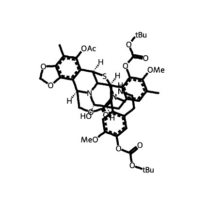 COc1cc2c(cc1OC(=O)OC(C)(C)C)CCN[C@]21CS[C@@H]2c3c(OC(C)=O)c(C)c4c(c3[C@H](COC1=O)N1C2[C@H]2c3c(cc(C)c(OC)c3OC(=O)OC(C)(C)C)C[C@@H]([C@@H]1O)N2C)OCO4